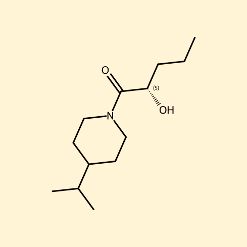 CCC[C@H](O)C(=O)N1CCC(C(C)C)CC1